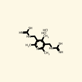 Cc1nc(C)c(CNC(=N)S)c(C)c1CNC(=N)S.Cl.Cl